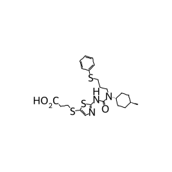 C[C@H]1CC[C@H](N(CCCSc2ccccc2)C(=O)Nc2ncc(SCCC(=O)O)s2)CC1